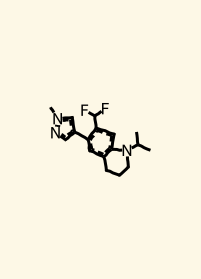 CC(C)N1CCCc2cc(-c3cnn(C)c3)c(C(F)F)cc21